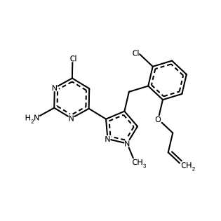 C=CCOc1cccc(Cl)c1Cc1cn(C)nc1-c1cc(Cl)nc(N)n1